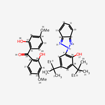 CCC(C)(C)c1cc(-n2nc3ccccc3n2)c(O)c(C(C)(C)CC)c1.COc1ccc(C(=O)c2ccc(OC)cc2O)c(O)c1